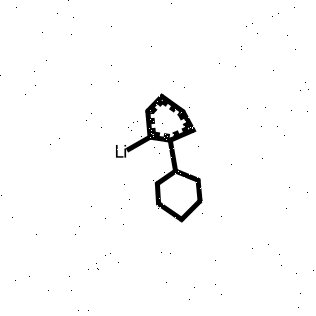 [Li][c]1ccccc1C1CCCCC1